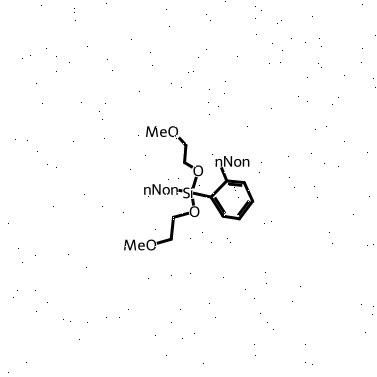 CCCCCCCCCc1ccccc1[Si](CCCCCCCCC)(OCCOC)OCCOC